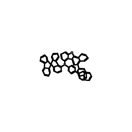 c1ccc(-c2ccc(N(c3cccc4c3-c3ccccc3C43c4ccccc4-c4ccccc43)c3cccc4oc5c6ccccc6c(-c6ccc7ccccc7c6)cc5c34)cc2)cc1